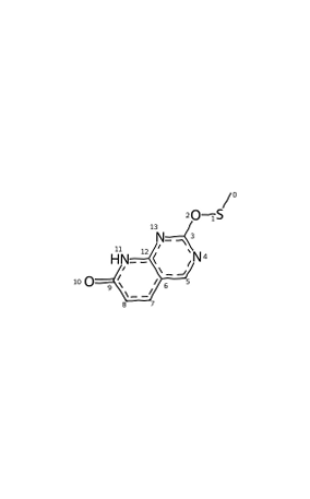 CSOc1ncc2ccc(=O)[nH]c2n1